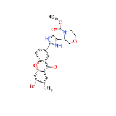 Cc1cc2c(=O)c3cc(-c4ncc([C@@H]5COCCN5C(=O)OC(C)(C)C)[nH]4)ccc3oc2cc1Br